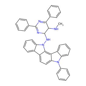 CNC1C(c2ccccc2)=NC(c2ccccc2)=NC1Nn1c2ccccc2c2ccc3c(c4ccccc4n3-c3ccccc3)c21